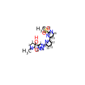 CN1CCC(O)(c2cn(-c3cccc(-c4ccnc(S(C)(=O)=O)n4)n3)nn2)C1=O